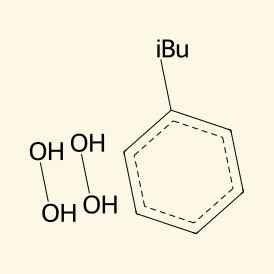 CCC(C)c1ccccc1.OO.OO